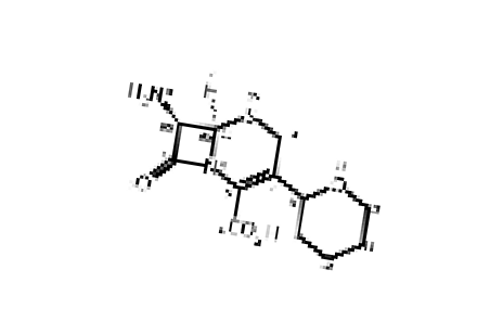 N[C@@H]1C(=O)N2C(C(=O)O)=C(C3CCCCO3)CS[C@H]12